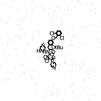 CN1CCN(C(=O)[C@@H]2OCO[C@H]2C(=O)NC(Cc2ccc(OCc3c(Cl)cccc3Cl)cc2)C(=O)OC(C)(C)C)CC1.CN1CCNCC1